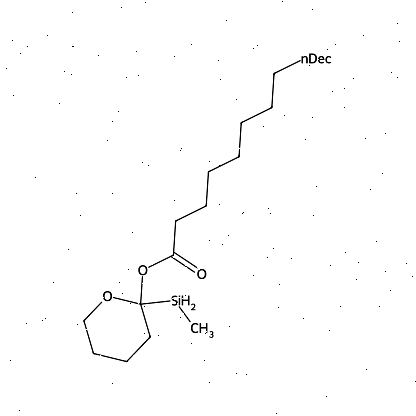 CCCCCCCCCCCCCCCCCC(=O)OC1([SiH2]C)CCCCO1